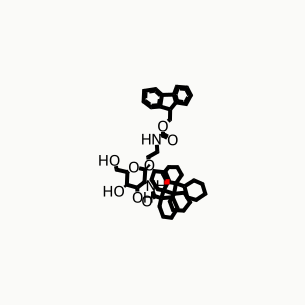 O=C(NCCO[C@@H]1OC(CO)[C@H](O)C(O)[C@@H]1NC(=O)C1(C2(C3(C4(C5CCCCC5)CCCCC4)CCCCC3)CCCCC2)CCCCC1)OCC1c2ccccc2-c2ccccc21